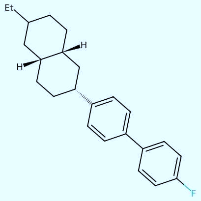 CCC1CC[C@@H]2C[C@H](c3ccc(-c4ccc(F)cc4)cc3)CC[C@@H]2C1